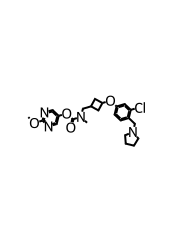 COc1ncc(OC(=O)N(C)CC2CC(Oc3ccc(CN4CCCC4)c(Cl)c3)C2)cn1